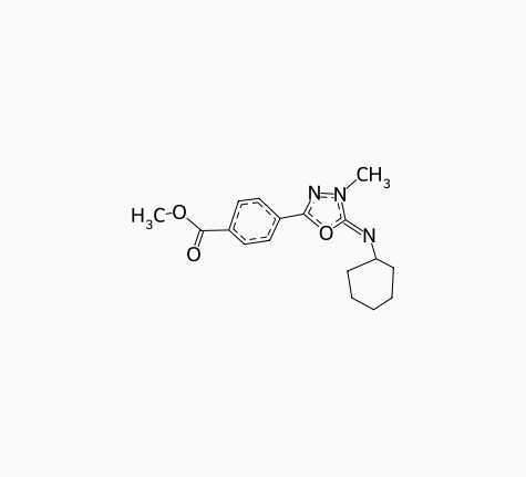 COC(=O)c1ccc(-c2nn(C)c(=NC3CCCCC3)o2)cc1